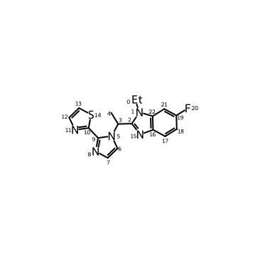 CCn1c(C(C)n2ccnc2-c2nccs2)nc2ccc(F)cc21